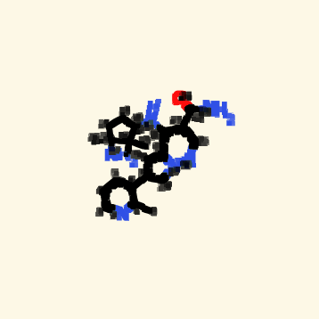 Cc1ncccc1-c1cc2c(N[C@@H]3CC[C@](C)(N)C3(C)C)c(C(N)=O)cnn2c1